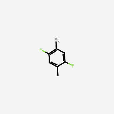 CCc1cc(F)c(C)cc1F